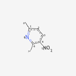 Cc1ccc([N+](=O)[O-])c(C)n1